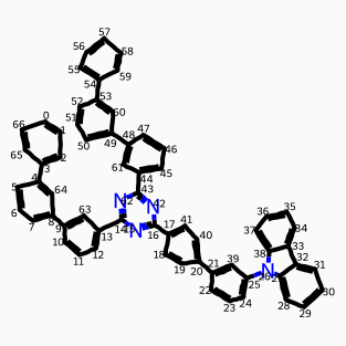 c1ccc(-c2cccc(-c3cccc(-c4nc(-c5ccc(-c6cccc(-n7c8ccccc8c8ccccc87)c6)cc5)nc(-c5cccc(-c6cccc(-c7ccccc7)c6)c5)n4)c3)c2)cc1